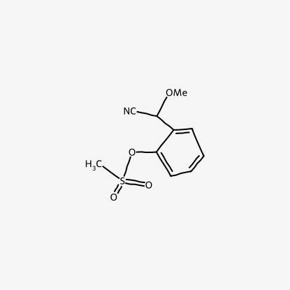 COC(C#N)c1ccccc1OS(C)(=O)=O